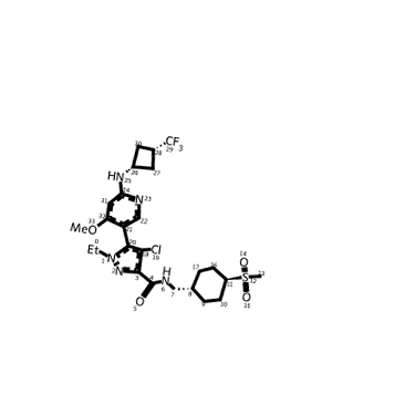 CCn1nc(C(=O)NC[C@H]2CC[C@H](S(C)(=O)=O)CC2)c(Cl)c1-c1cnc(N[C@H]2C[C@@H](C(F)(F)F)C2)cc1OC